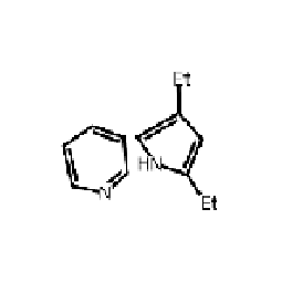 CCc1c[nH]c(CC)c1.c1ccncc1